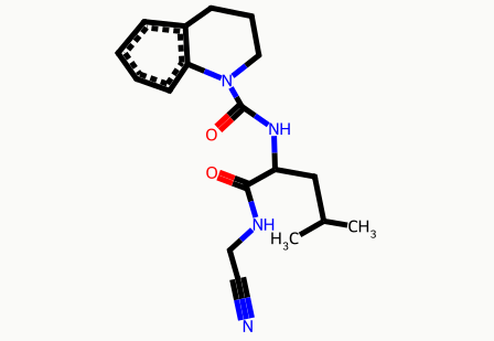 CC(C)CC(NC(=O)N1CCCc2ccccc21)C(=O)NCC#N